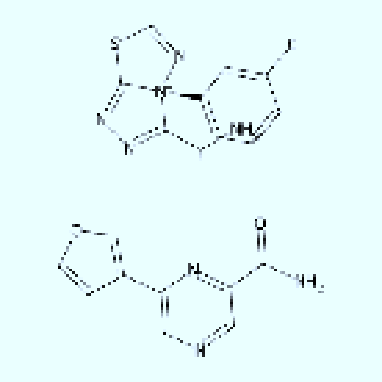 CC(N)C1=NN=C2SC=N[N@@+]21c1cccc(Cl)c1.NC(=O)c1cncc(-c2ccoc2)n1